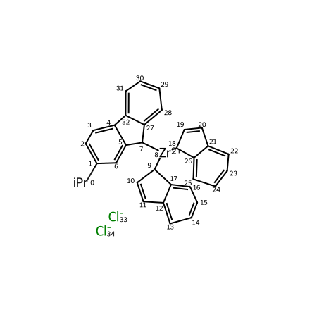 CC(C)c1ccc2c(c1)[CH]([Zr+2]([CH]1C=Cc3ccccc31)[CH]1C=Cc3ccccc31)c1ccccc1-2.[Cl-].[Cl-]